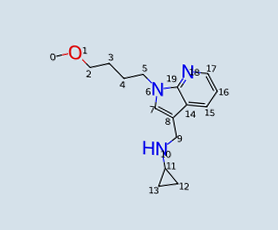 COCCCCn1cc(CNC2CC2)c2cccnc21